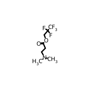 CN(C)CCC(=O)OCC(F)(F)C(F)(F)F